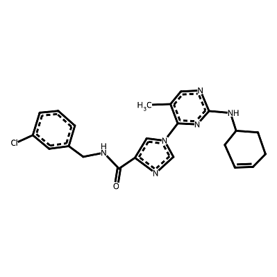 Cc1cnc(NC2CC=CCC2)nc1-n1cnc(C(=O)NCc2cccc(Cl)c2)c1